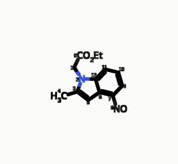 CCOC(=O)Cn1c(C)cc2c(N=O)cccc21